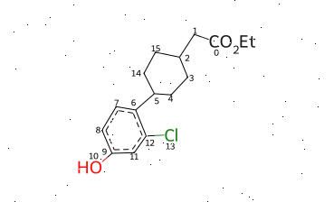 CCOC(=O)CC1CCC(c2ccc(O)cc2Cl)CC1